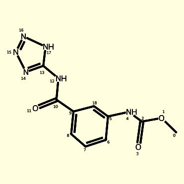 COC(=O)Nc1cccc(C(=O)Nc2nnn[nH]2)c1